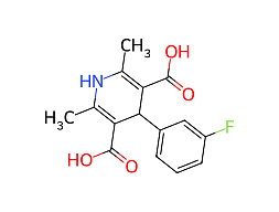 CC1=C(C(=O)O)C(c2cccc(F)c2)C(C(=O)O)=C(C)N1